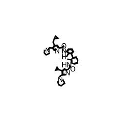 CC1=C(NC(=O)c2cc(C3CC3)c(CN3CCCCC3)cn2)C=CCC=C1c1cccc(NC(=O)c2cc(CC3CC3)c(CN3CCCC3)cn2)c1C